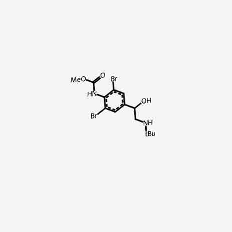 COC(=O)Nc1c(Br)cc(C(O)CNC(C)(C)C)cc1Br